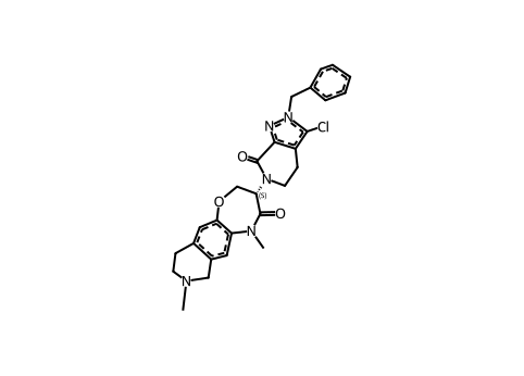 CN1CCc2cc3c(cc2C1)N(C)C(=O)[C@@H](N1CCc2c(nn(Cc4ccccc4)c2Cl)C1=O)CO3